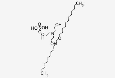 CCCCCCCCCCCCOCCCCCCCCCCCC.O=S(=O)(O)O.OCCN(CCO)CCO